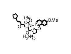 COc1ccc2c(O[C@@H]3C[C@@H](C(N)=O)N(C(=O)[C@H](CCC(=O)/C=C/C4CCCC4)NC(=O)OC(C)(C)C)C3)nccc2c1